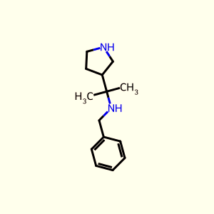 CC(C)(NCc1ccccc1)C1CCNC1